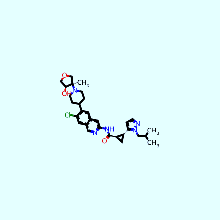 CC(C)Cn1nccc1[C@@H]1C[C@H]1C(=O)Nc1cc2cc(C3CCN([C@]4(C)COC[C@@H]4O)CC3)c(Cl)cc2cn1